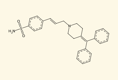 NS(=O)(=O)c1ccc(/C=C/CN2CCC(=C(c3ccccc3)c3ccccc3)CC2)cc1